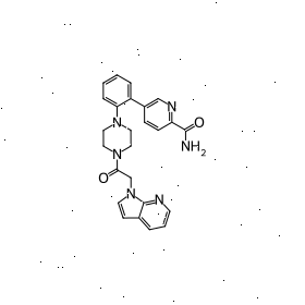 NC(=O)c1ccc(-c2ccccc2N2CCN(C(=O)Cn3ccc4cccnc43)CC2)cn1